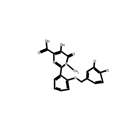 Cn1c(-c2ccccc2OCc2ccc(Cl)c(Cl)c2)nc(C(=O)O)c(O)c1=O